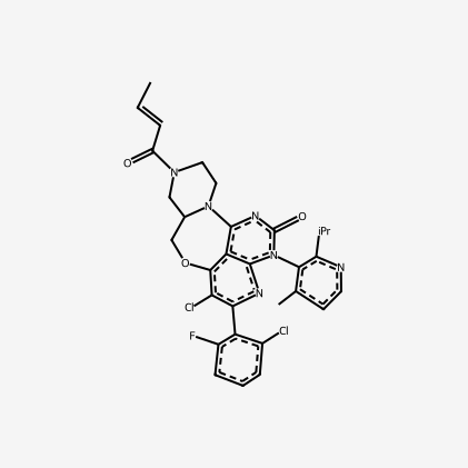 C/C=C/C(=O)N1CCN2c3nc(=O)n(-c4c(C)ccnc4C(C)C)c4nc(-c5c(F)cccc5Cl)c(Cl)c(c34)OCC2C1